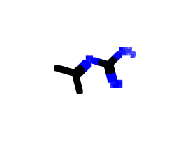 CC(C)=NC(=N)N